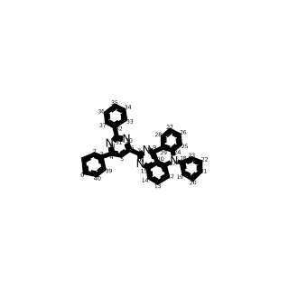 c1ccc(-c2cc(-c3nc4c5c(cccc5n3)N(c3ccccc3)c3ccccc3-4)nc(-c3ccccc3)n2)cc1